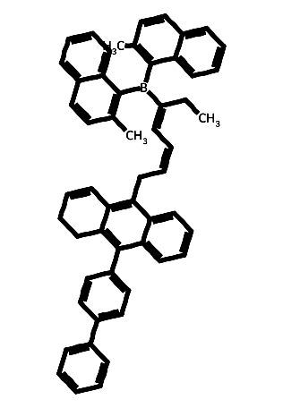 CC/C(=C\C=C/Cc1c2c(c(-c3ccc(-c4ccccc4)cc3)c3ccccc13)CCC=C2)B(c1c(C)ccc2ccccc12)c1c(C)ccc2ccccc12